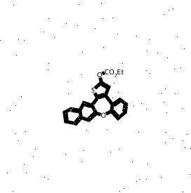 CCOC(=O)Oc1cc2c(s1)-c1cc3ccccc3cc1Oc1ccccc1-2